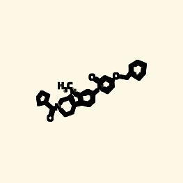 Cn1c2c(c3ccc(-n4ccc(OCc5ccccc5)cc4=O)cc31)CCN(C(=O)C1CCCC1)C2